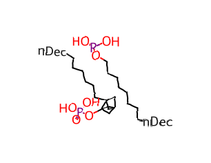 CCCCCCCCCCCCCCCCC12CC3(C1)CC2(OP(=O)(O)O)C3.CCCCCCCCCCCCCCCCCCOP(O)O